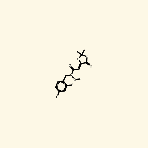 CON(Cc1ccc(F)cc1F)C(=O)C=C1OC(C)(C)OC1=O